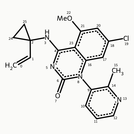 C=CC1(Nc2nc(=O)n(-c3cccnc3C)c3cc(Cl)cc(OC)c23)CC1